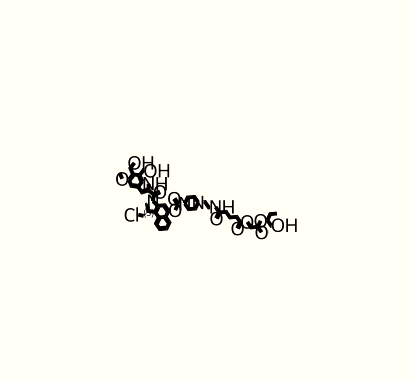 CCC(CO)OC(COC(=O)CCCC(=O)NCCN1CCN(C(=O)Oc2cc3c(c4ccccc24)[C@H](CCl)CN3C(=O)c2cc3cc(OC)c(CO)c(CO)c3[nH]2)CC1)OC